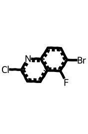 Fc1c(Br)ccc2nc(Cl)ccc12